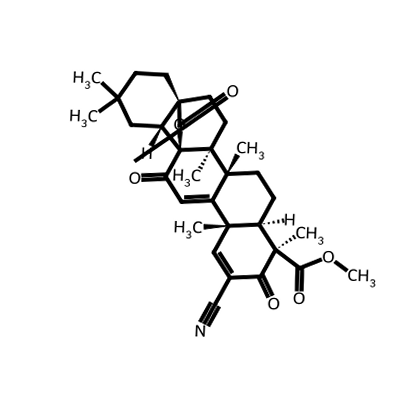 COC(=O)[C@@]1(C)C(=O)C(C#N)=C[C@]2(C)C3=CC(=O)[C@]45OC(=O)[C@@]6(CCC(C)(C)C[C@H]64)CC[C@@]5(C)[C@]3(C)CC[C@@H]12